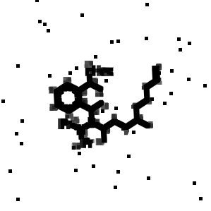 C=CCCCC(C)CCC(C)B(C(C)c1ccccc1C(C)CCCCCC)N(C(C)C)C(C)C